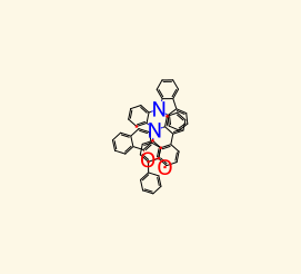 c1ccc(N(c2ccc3c(c2)oc2ccccc23)c2ccccc2-n2c3ccccc3c3ccccc32)c(-c2cccc3oc4c5ccccc5ccc4c23)c1